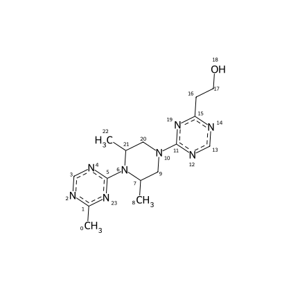 Cc1ncnc(N2C(C)CN(c3ncnc(CCO)n3)CC2C)n1